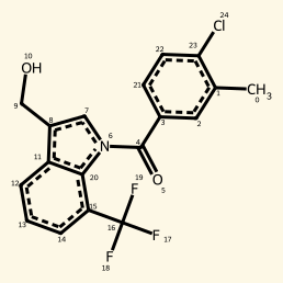 Cc1cc(C(=O)n2cc(CO)c3cccc(C(F)(F)F)c32)ccc1Cl